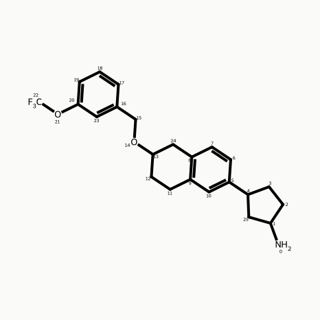 NC1CCC(c2ccc3c(c2)CCC(OCc2cccc(OC(F)(F)F)c2)C3)C1